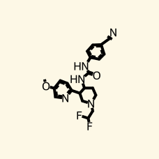 COc1ccc(C2CN(CC(F)F)CCC2NC(=O)Nc2ccc(C#N)cc2)nc1